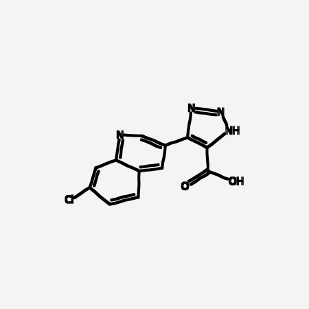 O=C(O)c1[nH]nnc1-c1cnc2cc(Cl)ccc2c1